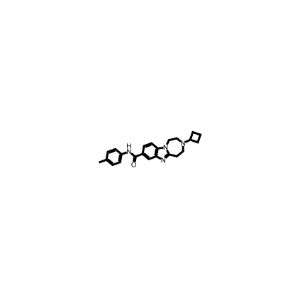 Cc1ccc(NC(=O)c2ccc3c(c2)nc2n3CCN(C3CCC3)CC2)cc1